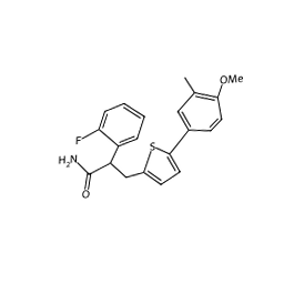 COc1ccc(-c2ccc(CC(C(N)=O)c3ccccc3F)s2)cc1C